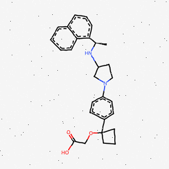 C[C@@H](NC1CCN(c2ccc(C3(OCC(=O)O)CCC3)cc2)C1)c1cccc2ccccc12